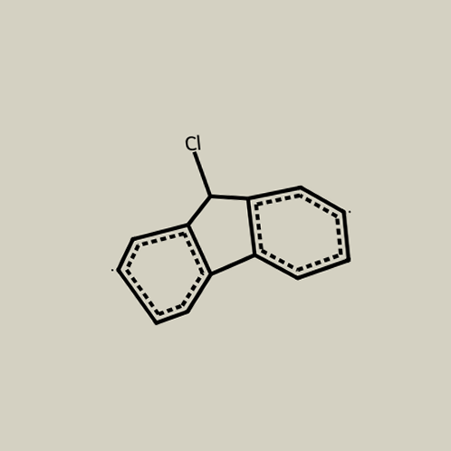 ClC1c2c[c]ccc2-c2cc[c]cc21